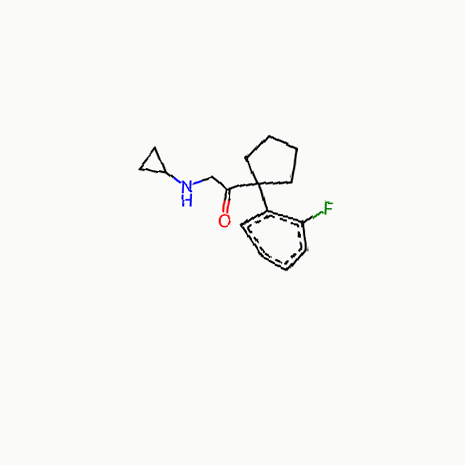 O=C(CNC1CC1)C1(c2ccccc2F)CCCC1